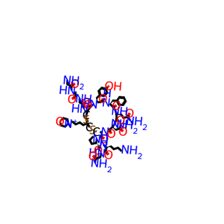 C[N+]1(CCCCC2CSC[C@@H](C(=O)N3CCC[C@H]3C(=O)N[C@@H](CCCCN)C(=O)NCC(N)=O)NC(=O)[C@H](CC(N)=O)NC(=O)[C@H](CCC(N)=O)NC(=O)[C@H](Cc3ccccc3)NC(=O)[C@H](Cc3ccc(O)cc3)NC(=O)[C@@H](NC(=O)CNC(=O)CNC(=O)CN)CS2)CCOCC1